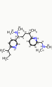 CCC(C)c1ccc([C@H](CCC(C)c2cccc(CN(C)C)n2)N(C)C)cn1